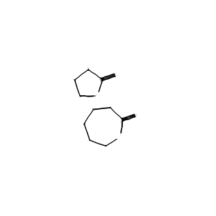 O=C1CCCCCO1.O=C1CCCN1